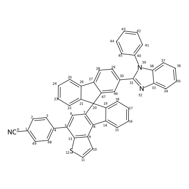 N#Cc1ccc(-c2cc3c(c4ccsc24)-c2ccccc2C32c3ccccc3-c3ccc(-c4nc5ccccc5n4-c4ccccc4)cc32)cc1